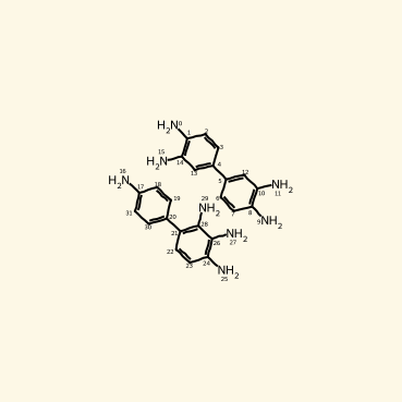 Nc1ccc(-c2ccc(N)c(N)c2)cc1N.Nc1ccc(-c2ccc(N)c(N)c2N)cc1